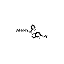 CNCC[C@@H](c1cccs1)N1CCc2nc(C(C)C)ccc21